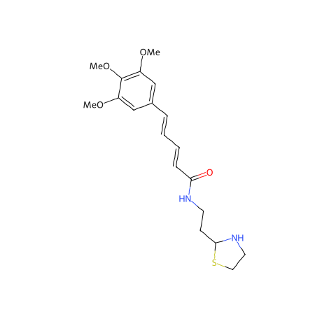 COc1cc(C=CC=CC(=O)NCCC2NCCS2)cc(OC)c1OC